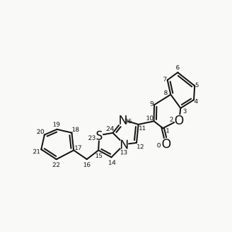 O=c1oc2ccccc2cc1-c1cn2cc(Cc3ccccc3)sc2n1